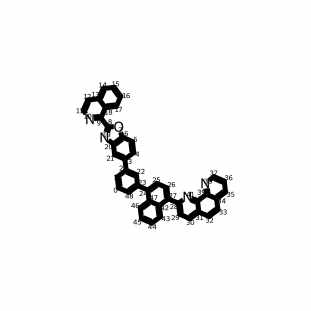 c1cc(-c2ccc3oc(-c4nccc5ccccc45)nc3c2)cc(-c2ccc(-c3ccc4ccc5cccnc5c4n3)c3ccccc23)c1